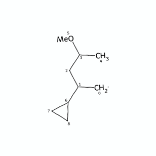 [CH2]C(CC(C)OC)C1CC1